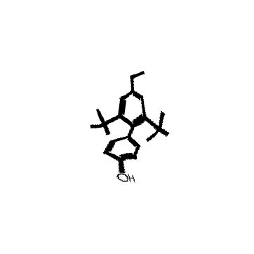 CCc1cc(C(C)(C)C)c(-c2ccc(O)cc2)c(C(C)(C)C)c1